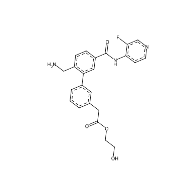 NCc1ccc(C(=O)Nc2ccncc2F)cc1-c1cccc(CC(=O)OCCO)c1